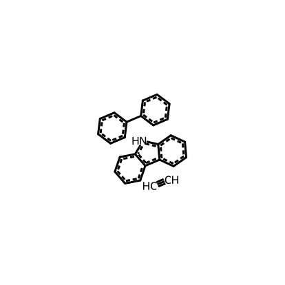 C#C.c1ccc(-c2ccccc2)cc1.c1ccc2c(c1)[nH]c1ccccc12